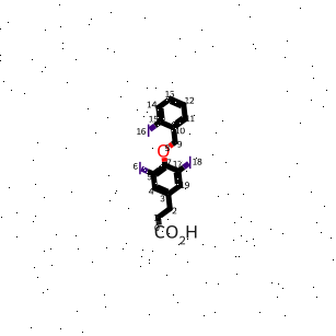 O=C(O)CCc1cc(I)c(OCc2ccccc2I)c(I)c1